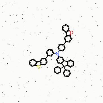 c1ccc(C2(c3ccccc3)c3ccccc3-c3cc(N(c4ccc(-c5ccc6oc7ccccc7c6c5)cc4)c4cccc(-c5ccc6sc7ccccc7c6c5)c4)ccc32)cc1